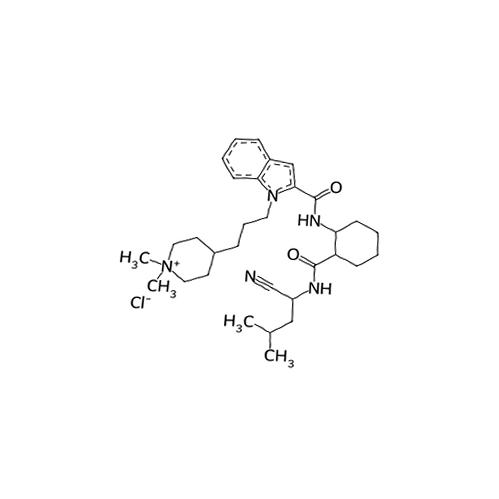 CC(C)CC(C#N)NC(=O)C1CCCCC1NC(=O)c1cc2ccccc2n1CCCC1CC[N+](C)(C)CC1.[Cl-]